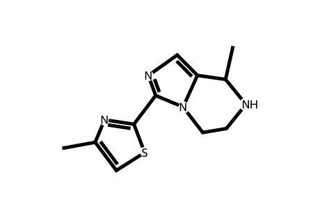 Cc1csc(-c2ncc3n2CCNC3C)n1